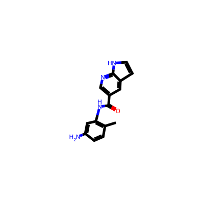 Cc1ccc(N)cc1NC(=O)c1cnc2[nH]ccc2c1